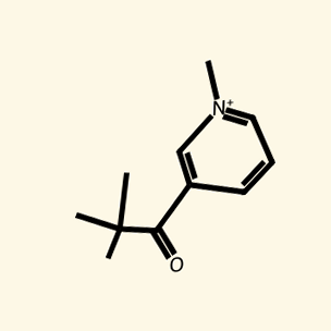 C[n+]1cccc(C(=O)C(C)(C)C)c1